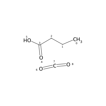 CCCC(=O)O.O=C=O